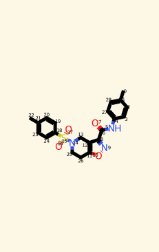 Cc1ccc(NC(=O)c2noc3c2CN(S(=O)(=O)c2ccc(C)cc2)CC3)cc1